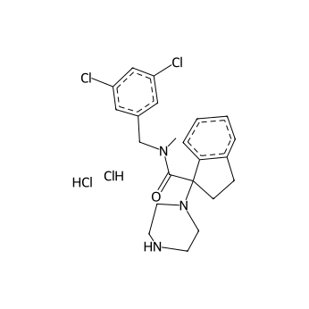 CN(Cc1cc(Cl)cc(Cl)c1)C(=O)C1(N2CCNCC2)CCc2ccccc21.Cl.Cl